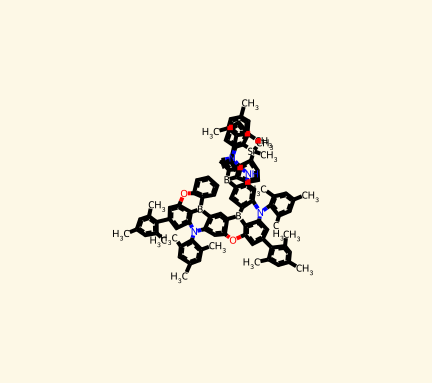 Cc1cc(C)c(-c2cc3c4c(c2)N2c5ccccc5[Si](C)(C)c5cccc(c52)B4c2cc4c(cc2N3)N(c2c(C)cc(C)cc2C)c2cc(-c3c(C)cc(C)cc3C)cc3c2B4c2cc4c(cc2O3)N(c2c(C)cc(C)cc2C)c2cc(-c3c(C)cc(C)cc3C)cc3c2B4c2ccccc2O3)c(C)c1